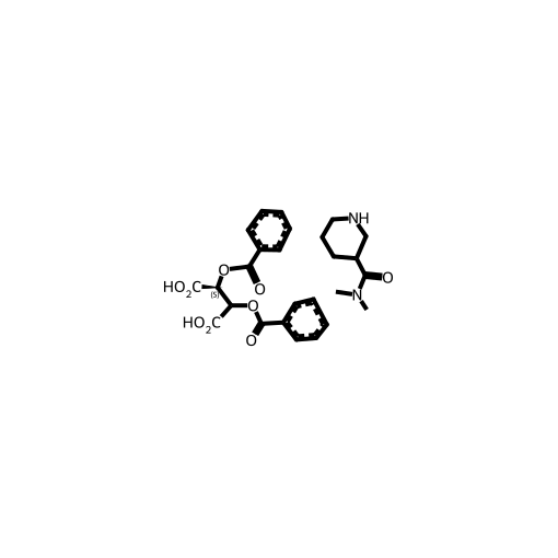 CN(C)C(=O)C1CCCNC1.O=C(OC(C(=O)O)[C@H](OC(=O)c1ccccc1)C(=O)O)c1ccccc1